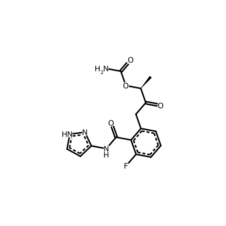 C[C@H](OC(N)=O)C(=O)Cc1cccc(F)c1C(=O)Nc1cc[nH]n1